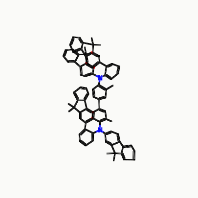 Cc1cc(-c2ccc(N(c3ccc4c(c3)C(C)(C)c3ccccc3-4)c3ccccc3-c3ccc4c(c3)C(C)(C)c3ccccc3-4)c(C)c2)ccc1N(c1ccc2c(c1)C(C)(C)c1ccccc1-2)c1ccccc1-c1ccc2c(c1)C(C)(C)c1ccccc1-2